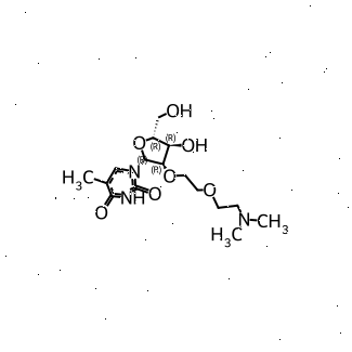 Cc1cn([C@@H]2O[C@H](CO)[C@@H](O)[C@H]2OCCOCCN(C)C)c(=O)[nH]c1=O